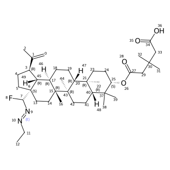 C=C(C)[C@@H]1CC[C@]2(C(F)/N=N/CC)CC[C@]3(C)[C@H](CC[C@@H]4[C@@]5(C)CC[C@H](OC(=O)CC(C)(C)CC(=O)O)C(C)(C)[C@@H]5CC[C@]43C)[C@@H]12